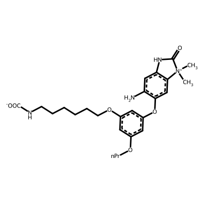 CCCOc1cc(OCCCCCCNC(=O)[O-])cc(Oc2cc3c(cc2N)NC(=O)[N+]3(C)C)c1